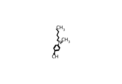 C#Cc1ccc(N(CC)CCCCCC)cc1